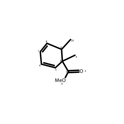 COC(=O)C1(C)C=CC=CC1C